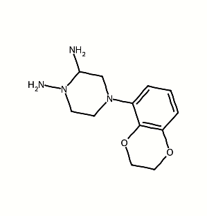 NC1CN(c2cccc3c2OCCO3)CCN1N